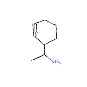 CC(N)C1C#CCCC1